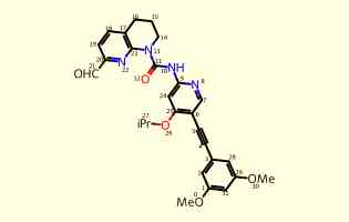 COc1cc(C#Cc2cnc(NC(=O)N3CCCc4ccc(C=O)nc43)cc2OC(C)C)cc(OC)c1